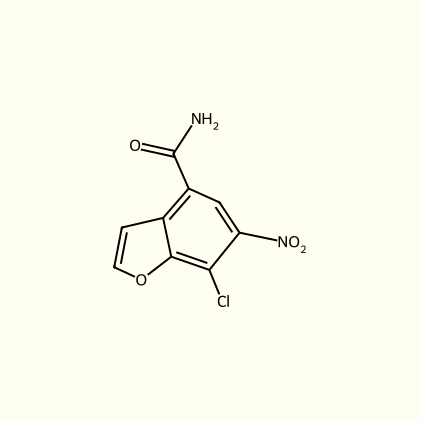 NC(=O)c1cc([N+](=O)[O-])c(Cl)c2occc12